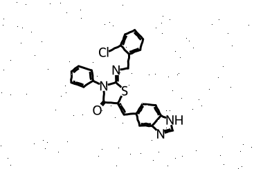 O=C1C(=Cc2ccc3[nH]cnc3c2)SC(=NCc2ccccc2Cl)N1c1ccccc1